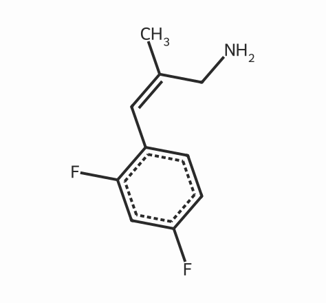 CC(=Cc1ccc(F)cc1F)CN